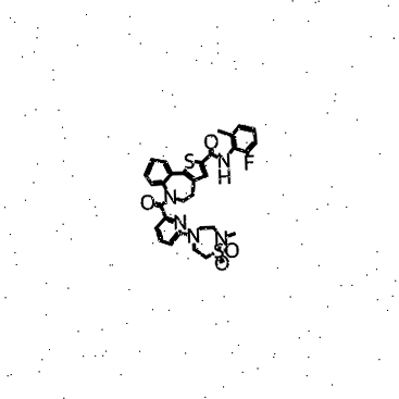 Cc1cccc(F)c1NC(=O)c1cc2c(s1)-c1ccccc1N(C(=O)c1cccc(N3CCN(C)S(=O)(=O)CC3)n1)CC2